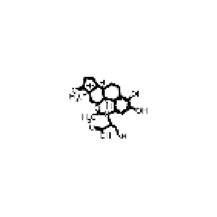 CC(=O)N(c1cc(O)c(O)c2c1[C@H]1CC[C@]3(C)C(=O)CC[C@H]3[C@@H]1CC2)C(CS)C(=O)O